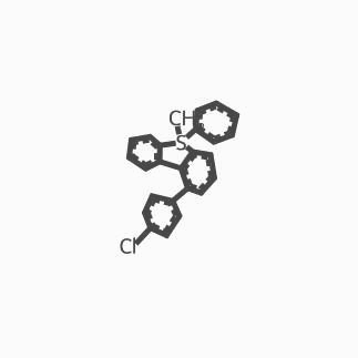 CS1(c2ccccc2)c2ccccc2-c2c(-c3ccc(Cl)cc3)cccc21